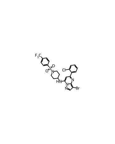 O=S(=O)(c1ccc(C(F)(F)F)cc1)N1CCC(Nc2cc(-c3ccccc3Cl)nc3c(Br)cnn23)CC1